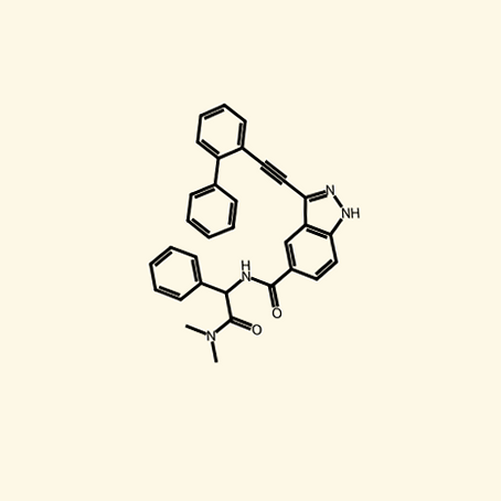 CN(C)C(=O)C(NC(=O)c1ccc2[nH]nc(C#Cc3ccccc3-c3ccccc3)c2c1)c1ccccc1